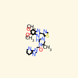 COc1cc2nc(-c3ncsc3N3CCN(C(=O)Cn4cnc5cccnc54)[C@H](C)C3)[nH]c2cc1OC